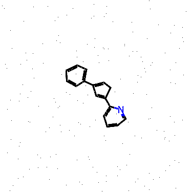 C1=C(c2ccccc2)C=C(c2ccccn2)C1